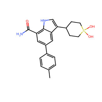 Cc1ccc(-c2cc(C(N)=O)c3[nH]cc(C4CCS(O)(O)CC4)c3c2)cc1